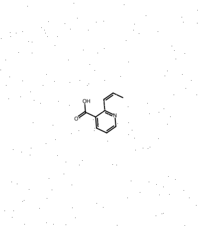 C/C=C\c1ncccc1C(=O)O